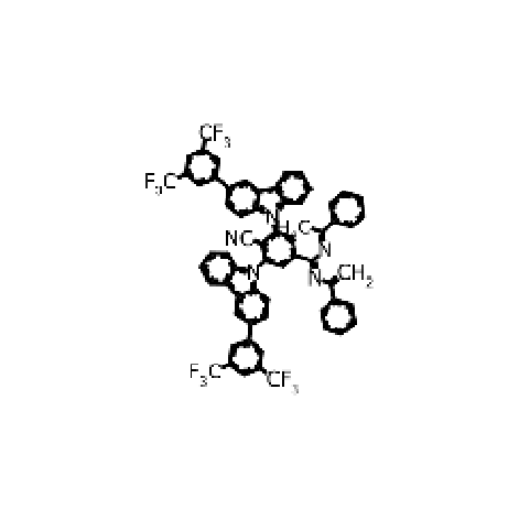 C=C(/N=C(\N=C(/C)c1ccccc1)c1cc(-n2c3ccccc3c3cc(-c4cc(C(F)(F)F)cc(C(F)(F)F)c4)ccc32)c(C#N)c(-n2c3ccccc3c3cc(-c4cc(C(F)(F)F)cc(C(F)(F)F)c4)ccc32)c1)c1ccccc1